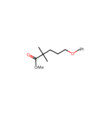 COC(=O)C(C)(C)CCCOC(C)C